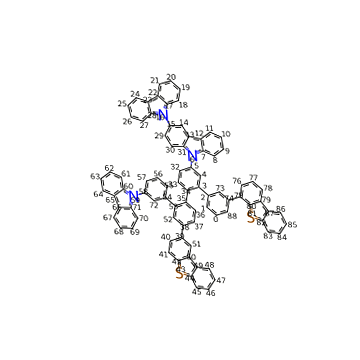 c1cc(-c2cc(-n3c4ccccc4c4cc(-n5c6ccccc6c6ccccc65)ccc43)ccc2-c2ccc(-c3ccc4sc5ccccc5c4c3)cc2-c2cccc(-n3c4ccccc4c4ccccc43)c2)cc(-c2cccc3c2sc2ccccc23)c1